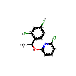 CC(Oc1cccc(Cl)n1)c1ccc(Cl)cc1F